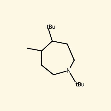 CC1CCN(C(C)(C)C)CCC1C(C)(C)C